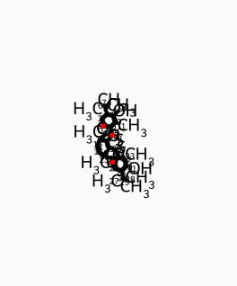 Cc1cc(C(C)(C)C)c(O)c(C)c1Cc1c2ccc(c1Cc1c(C)cc(C(C)(C)C)c(O)c1C)C(=O)OSSOC2=O